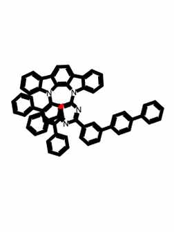 c1ccc(-c2ccc(-c3cccc(-c4nc(-c5ccccc5)nc(-n5c6ccccc6c6ccc7c8ccccc8n(-c8ccc(-c9ccccc9)cc8-c8ccccc8)c7c65)n4)c3)cc2)cc1